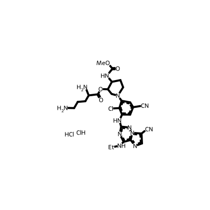 CCNc1nc(Nc2cc(C#N)cc(N3CCC(NC(=O)OC)C(OC(=O)C(N)CCCN)C3)c2Cl)nn2c(C#N)cnc12.Cl.Cl